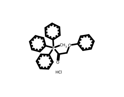 CP(C(=O)COc1ccccc1)(c1ccccc1)(c1ccccc1)c1ccccc1.Cl